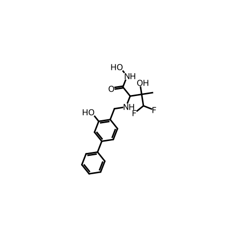 CC(O)(C(F)F)C(NCc1ccc(-c2ccccc2)cc1O)C(=O)NO